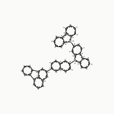 c1ccc2c(c1)-c1cccc3cc(-c4ccc5cc(-n6c7ccccc7c7ccc(-n8c9ccccc9c9ccccc98)cc76)ccc5c4)cc-2c13